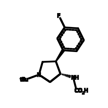 CC(C)(C)N1C[C@@H](NC(=O)O)[C@H](c2cccc(F)c2)C1